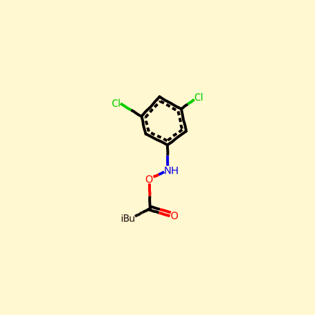 CCC(C)C(=O)ONc1cc(Cl)cc(Cl)c1